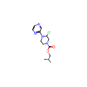 CC(C)COC(=O)N1CCN(c2cnccn2)C(Cl)C1